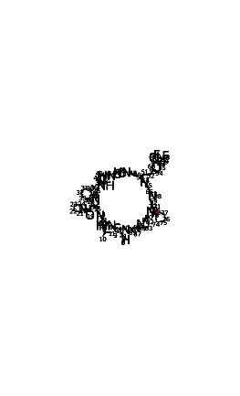 CC[C@H](C)[C@H]1CN[C@@H](CC(C)C)C(C)NCC2[C@@H](C(=O)N3CCCC3)C(C)N2[C@@H](C2CCCCC2)C(C)NC2(CCCC2)CNCCNC=CC(CCc2ccc(C(F)(F)F)c(Cl)c2)=NC=CN(C)C=C(CC2CCCCC2)N(C)C=C2CCCN2[C@@H](C)C(C)N1